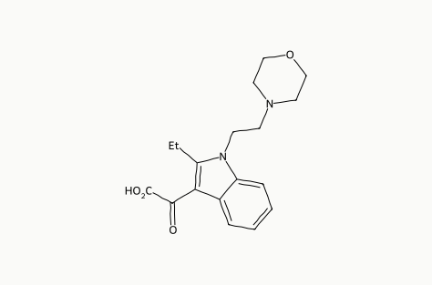 CCc1c(C(=O)C(=O)O)c2ccccc2n1CCN1CCOCC1